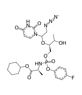 CC(O)[C@@H](COP(=O)(N[C@@H](C)C(=O)OC1CCCCC1)Oc1ccc(F)cc1)OC(CN=[N+]=[N-])n1ccc(=O)[nH]c1=O